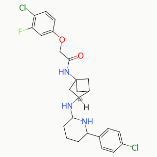 O=C(COc1ccc(Cl)c(F)c1)NC12CC(C1)[C@@H](NC1CCCC(c3ccc(Cl)cc3)N1)C2